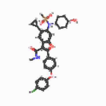 CNC(=O)c1c(-c2ccc(Oc3ccc(F)cc3)cc2)oc2cc(N([C@H]3CC[C@H](O)CC3)S(C)(=O)=O)c(C3CC3)cc12